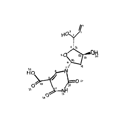 C=CC(O)[C@H]1O[C@@H](n2cc(C(=O)O)c(=O)[nH]c2=O)C[C@@H]1O